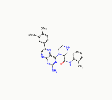 COc1ccc(-c2cnc3nc(N)nc(N4CCNCC4C(=O)Nc4ccccc4C)c3n2)cc1OC